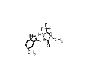 COC(=O)[C@H](Cc1c[nH]c2ccc(C)cc12)NC(=O)C(F)(F)F